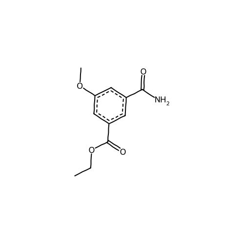 CCOC(=O)c1cc(OC)cc(C(N)=O)c1